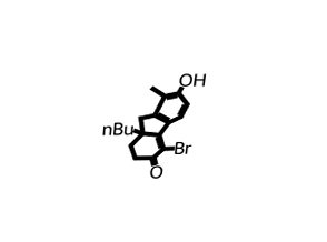 CCCCC12CCC(=O)C(Br)=C1c1ccc(O)c(C)c1C2